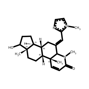 CN1C(=O)C=C[C@@]2(C)C1C(=Cc1nccn1C)C[C@@H]1[C@H]2CC[C@]2(C)C(O)CC[C@@H]12